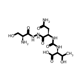 CC(O)[C@H](NC(=O)N[C@H](CC(N)=O)C(=O)NNC(=O)[C@@H](N)CO)C(=O)O